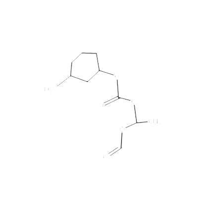 CC1CCCC(OC(=O)OC(C)OC=O)C1